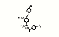 C=C(N/C=C(\N)c1ccc(OCc2ccc(C#N)cn2)c(OC)c1)c1ccc(C(F)(F)F)cc1